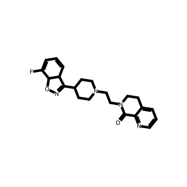 O=C1c2ncccc2CCN1CCN1CCC(C2=NOC3C(F)=CC=CC23)CC1